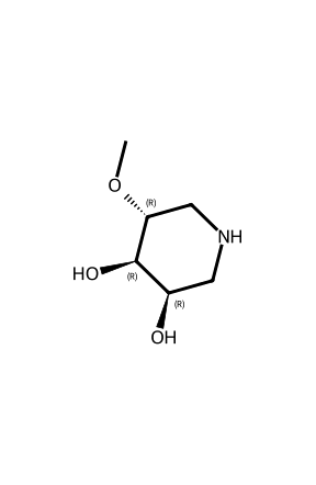 CO[C@@H]1CNC[C@@H](O)[C@H]1O